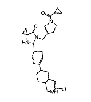 O=C(C1CC1)N1CC[C@@H](CN2C(=O)C3(CC3)NC2C2C=CC(C3CCC4CNC(Cl)=CC4C3)=CC2)C1